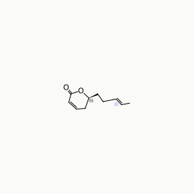 C/C=C/CC[C@H]1CC=CC(=O)O1